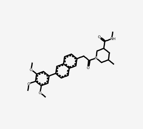 CNC(=O)C1CC(C)CN(C(=O)Cc2ccc3cc(-c4cc(OC)c(OC)c(OC)c4)ccc3c2)C1